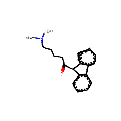 CCCCN(CCCC)CCCCC(=O)C1c2ccccc2-c2ccccc21